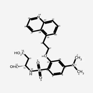 CN(C)c1ccc(S(=O)(=O)N[C@H](C=O)CC(=O)O)c(OCCc2cccc3ncccc23)c1